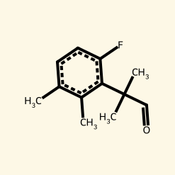 Cc1ccc(F)c(C(C)(C)C=O)c1C